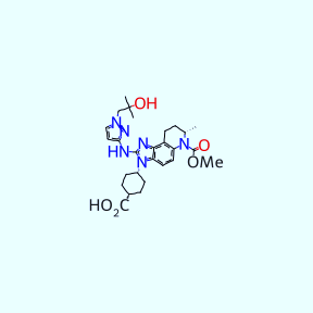 COC(=O)N1c2ccc3c(nc(Nc4ccn(CC(C)(C)O)n4)n3[C@H]3CC[C@H](C(=O)O)CC3)c2CC[C@@H]1C